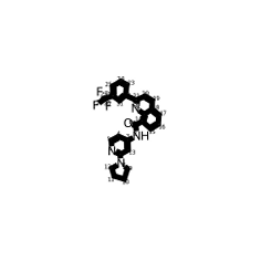 O=C(Nc1ccnc(N2CCCC2)c1)c1cccc2ccc(-c3cccc(C(F)(F)F)c3)nc12